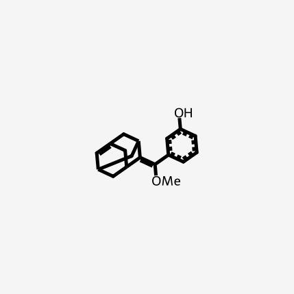 COC(=C1C2CC3=CC(C2)CC1C3)c1cccc(O)c1